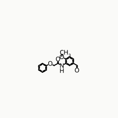 COc1ccc(C=O)cc1NC(=O)COc1ccccc1